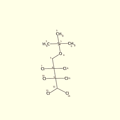 C[Si](C)(C)OCC(Cl)(Cl)C(Cl)(Cl)C(Cl)Cl